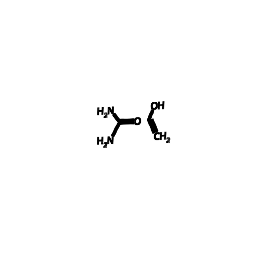 C=CO.NC(N)=O